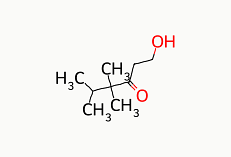 CC(C)C(C)(C)C(=O)CCO